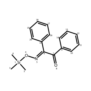 C[Si](C)(C)O/N=C(/C(=O)c1ccccc1)c1ccccc1